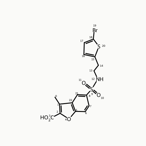 Cc1c(C(=O)O)oc2ccc(S(=O)(=O)NCCc3ccc(Br)s3)cc12